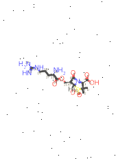 CC1(C)[C@H](C(=O)O)N2C(=O)[C@H](COC(=O)[C@@H](N)CCCNC(=N)N)[C@H]2S1(=O)=O